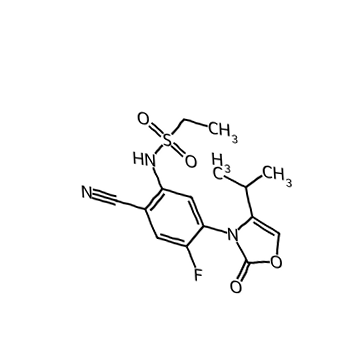 CCS(=O)(=O)Nc1cc(-n2c(C(C)C)coc2=O)c(F)cc1C#N